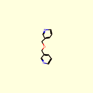 c1cncc(COCc2cccnc2)c1